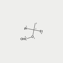 CCC(C)(O[C]=O)C(C)C